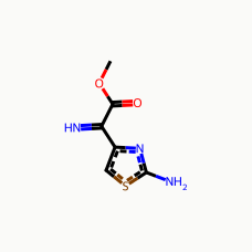 COC(=O)C(=N)c1csc(N)n1